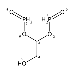 O=[PH2]OC(CO)O[PH2]=O